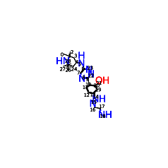 CC1(C)CC(Nc2cnc(-c3ccc(N/N=C\C=N)cc3O)nn2)CC(C)(C)N1